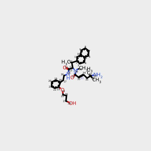 CC(c1ccc2ccccc2c1)C(C(=O)NCCc1ccccc1OCCCO)N(C)C(=O)/C=C/CC(C)(C)N